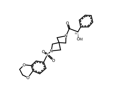 O=C([C@@H](O)c1ccccc1)N1CC2(C1)CN(S(=O)(=O)c1ccc3c(c1)OCCO3)C2